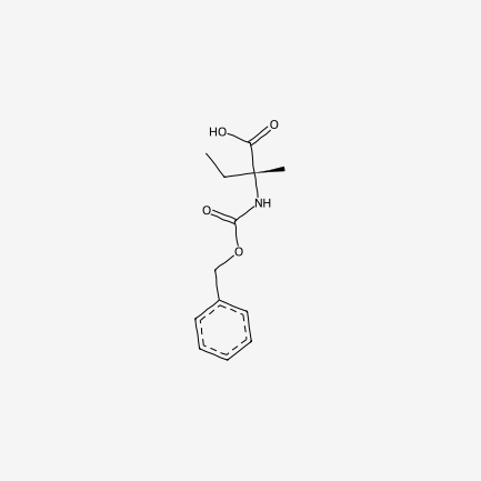 CC[C@@](C)(NC(=O)OCc1ccccc1)C(=O)O